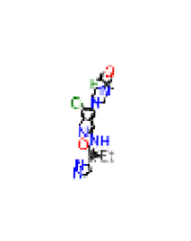 CC[C@@H]1[C@H](C(=O)Nc2cc3cc(N4CCN([C@]5(C)COC[C@@H]5F)CC4)c(Cl)cc3cn2)[C@H]1c1ccn(C)n1